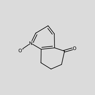 O=C1CCCc2c1ccc[n+]2[O-]